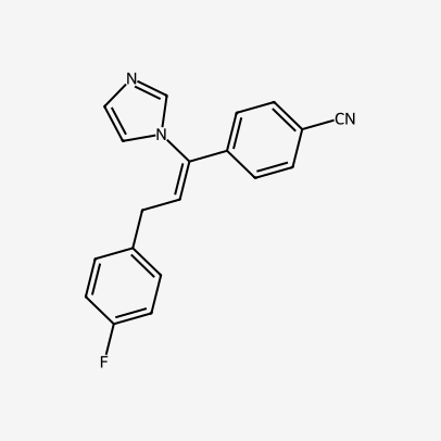 N#Cc1ccc(/C(=C/Cc2ccc(F)cc2)n2ccnc2)cc1